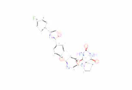 O=C1NC(=O)C2(CCCN2c2ccc(Oc3ccc(-c4nc(-c5ccc(F)cc5)co4)cc3)nc2)C(=O)N1